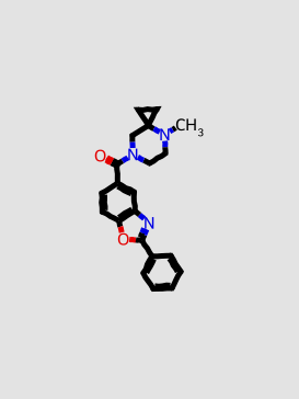 CN1CCN(C(=O)c2ccc3oc(-c4ccccc4)nc3c2)CC12CC2